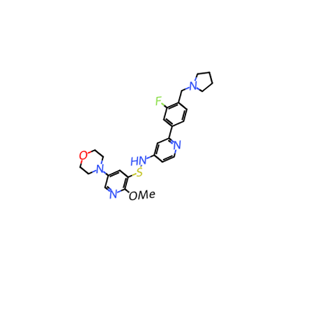 COc1ncc(N2CCOCC2)cc1SNc1ccnc(-c2ccc(CN3CCCC3)c(F)c2)c1